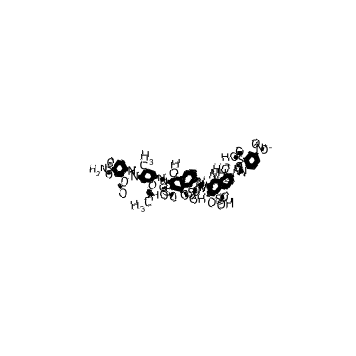 CCCOc1cc(N=Nc2ccc(S(N)(=O)=O)cc2OC=O)c(C)cc1N=Nc1c(S(=O)(=O)O)cc2c(S(=O)(=O)O)c(N=Nc3cc(S(=O)(=O)O)c4ccc(N=Nc5ccc([N+](=O)[O-])cc5S(=O)(=O)O)c(O)c4c3N)ccc2c1O